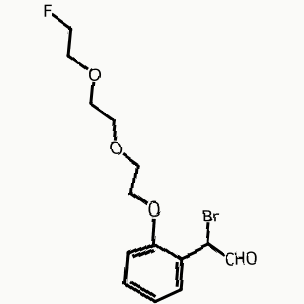 O=CC(Br)c1ccccc1OCCOCCOCCF